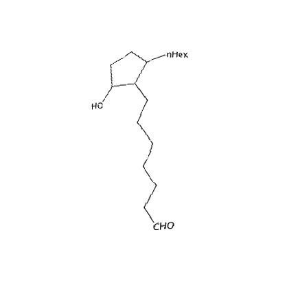 CCCCCCC1CCC(O)C1CCCCCCC=O